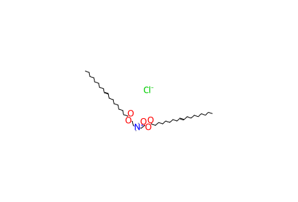 CCCCCCCCC=CCCCCCCCC(=O)OCC[N+](C)(C)CC(=O)OC(=O)CCCCCCCC=CCCCCCCCC.[Cl-]